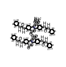 O=C(NC1=CC(=S(=O)=O)C(/C=C/c2ccc(NC(=O)Nc3ccccc3)cc2S(=O)(=O)[O-])C=C1)Nc1ccccc1.O=C(NC1=CC(=S(=O)=O)C(/C=C/c2ccc(NC(=O)Nc3ccccc3)cc2S(=O)(=O)[O-])C=C1)Nc1ccccc1.[Na+].[Na+]